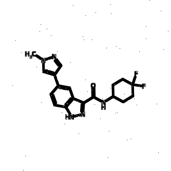 Cn1cc(-c2ccc3[nH]nc(C(=O)NC4CCC(F)(F)CC4)c3c2)cn1